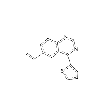 C=Cc1ccc2ncnc(-c3cccs3)c2c1